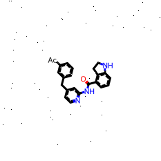 CC(=O)c1cccc(Cc2ccnc(NC(=O)c3cccc4c3CCN4)c2)c1